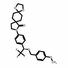 COc1ccc(CO[C@H](c2ccc(N3CCC4(CCC5(CC4)OCCO5)C3=O)cc2)C(F)(F)F)cc1